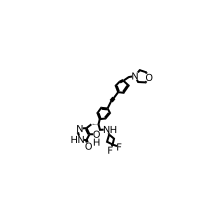 O=c1[nH]cnc(C[C@@H](CNC2CC(F)(F)C2)c2ccc(C#Cc3ccc(CN4CCOCC4)cc3)cc2)c1O